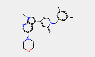 C=C1C=C(c2cn(C)c3ncc(N4CCOCC4)cc23)C=CN1Cc1cc(C)cc(C)c1